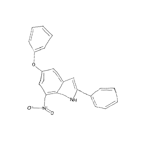 O=[N+]([O-])c1cc(Oc2ccccc2)cc2cc(-c3ccccc3)[nH]c12